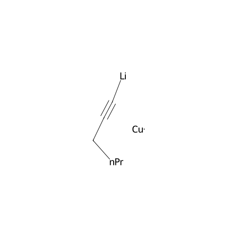 [Cu].[Li][C]#CCCCC